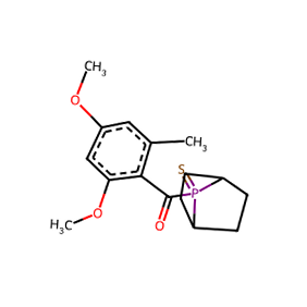 COc1cc(C)c(C(=O)P2(=S)C3CCC2CC3)c(OC)c1